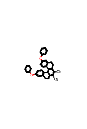 N#Cc1c(C#N)c2c(c3c1CCc1cc(Oc4ccccc4)ccc1-3)-c1ccc(Oc3ccccc3)cc1CC2